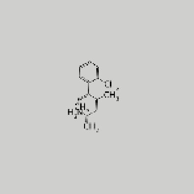 C=C(N)/C=C(C)\C(=C/C)c1ccccc1C